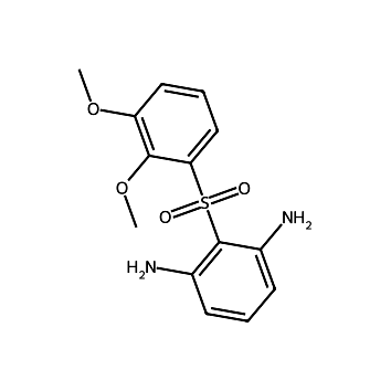 COc1cccc(S(=O)(=O)c2c(N)cccc2N)c1OC